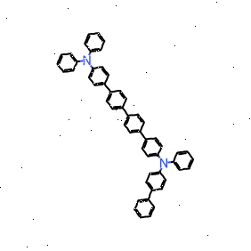 c1ccc(-c2ccc(N(c3ccccc3)c3ccc(-c4ccc(-c5ccc(-c6ccc(N(c7ccccc7)c7ccccc7)cc6)cc5)cc4)cc3)cc2)cc1